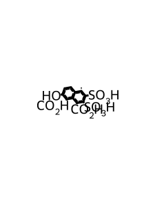 O=C(O)c1c(O)ccc2[c]c(S(=O)(=O)O)c(S(=O)(=O)O)c(C(=O)O)c12